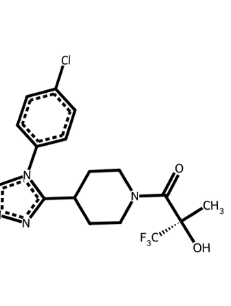 C[C@@](O)(C(=O)N1CCC(c2nncn2-c2ccc(Cl)cc2)CC1)C(F)(F)F